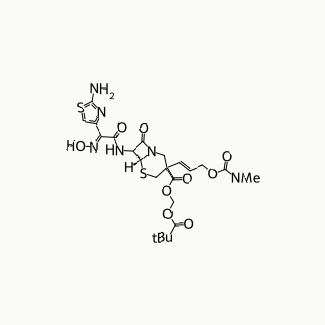 CNC(=O)OCC=CC1(C(=O)OCOC(=O)C(C)(C)C)CS[C@@H]2C(NC(=O)C(=NO)c3csc(N)n3)C(=O)N2C1